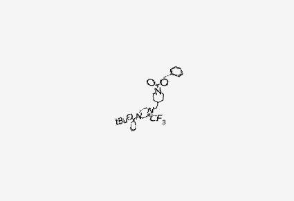 CC(C)(C)OC(=O)N1CCN(CC2CCN(C(=O)OCc3ccccc3)CC2)[C@H](C(F)(F)F)C1